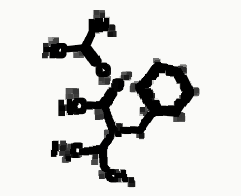 CC(C)N(Cc1ccccc1)C(=O)O.NC(=O)O